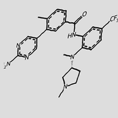 Cc1ccc(C(=O)Nc2cc(C(F)(F)F)ccc2N(C)[C@@H]2CCN(C)C2)cc1-c1cnc(N)nc1